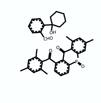 Cc1cc(C)c(C(=O)c2cccc(P=O)c2C(=O)c2c(C)cc(C)cc2C)c(C)c1.O=Cc1ccccc1C1(O)CCCCC1